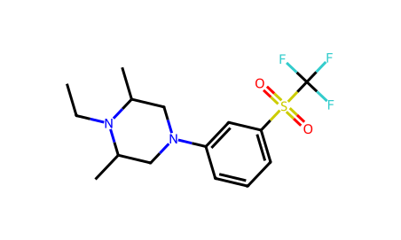 CCN1C(C)CN(c2cccc(S(=O)(=O)C(F)(F)F)c2)CC1C